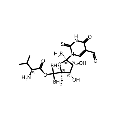 BC(B)(OC(=O)[C@@H](N)C(C)C)[C@@]1(F)O[C@@](B)(n2cc(C=O)c(=O)[nH]c2=S)[C@H](O)[C@@H]1O